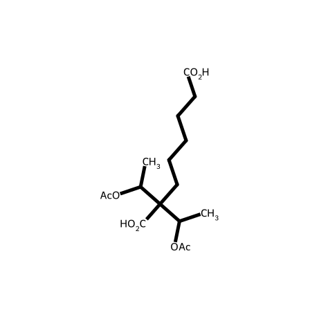 CC(=O)OC(C)C(CCCCCC(=O)O)(C(=O)O)C(C)OC(C)=O